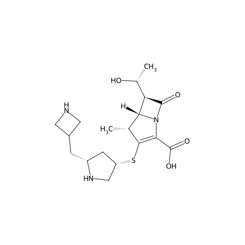 C[C@@H](O)[C@H]1C(=O)N2C(C(=O)O)=C(S[C@@H]3CN[C@H](CC4CNC4)C3)[C@H](C)[C@H]12